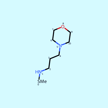 CSNCCCN1CCOCC1